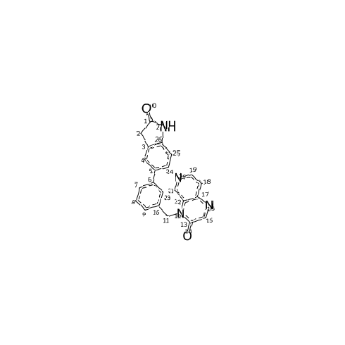 O=C1Cc2cc(-c3cccc(Cn4c(=O)cnc5ccncc54)c3)ccc2N1